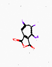 O=C1OC(=O)c2c1cc(I)c(I)c2I